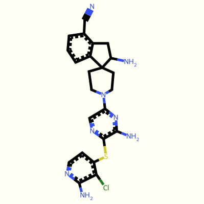 N#Cc1cccc2c1CC(N)C21CCN(c2cnc(Sc3ccnc(N)c3Cl)c(N)n2)CC1